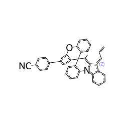 C=C/C=c1\c2n(c3ccccc13)-c1ccccc1C1(C=2C)c2ccccc2Oc2cc(-c3ccc(C#N)cc3)ccc21